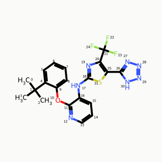 CC(C)(C)c1ccccc1Oc1ncccc1Nc1nc(C(F)(F)F)c(-c2nnn[nH]2)s1